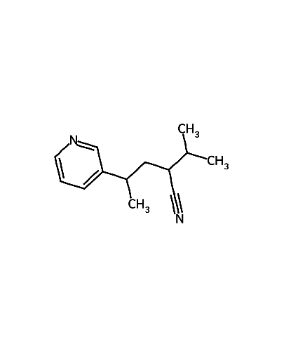 CC(CC(C#N)C(C)C)c1cccnc1